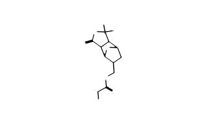 CC1(C)OC(=O)C2C3OC(CC3COC(=O)CCl)C21